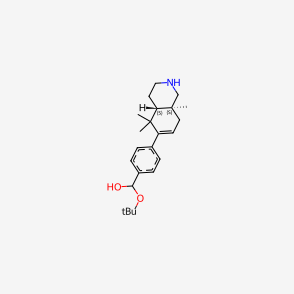 CC(C)(C)OC(O)c1ccc(C2=CC[C@]3(C)CNCC[C@H]3C2(C)C)cc1